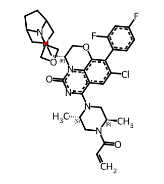 C=CC(=O)N1C[C@H](C)N(c2nc(=O)n3c4c(c(-c5ccc(F)cc5F)c(Cl)cc24)OC[C@H]3CN2CC3CCC(C2)N3C2COC2)C[C@H]1C